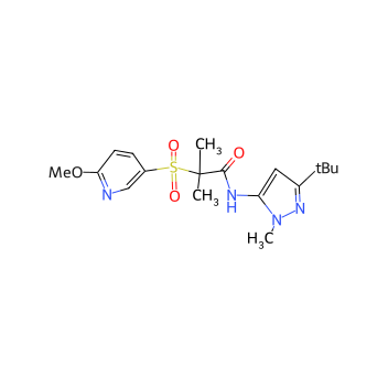 COc1ccc(S(=O)(=O)C(C)(C)C(=O)Nc2cc(C(C)(C)C)nn2C)cn1